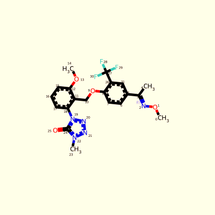 CO/N=C(\C)c1ccc(OCc2c(OC)cccc2-n2nnn(C)c2=O)c(C(F)(F)F)c1